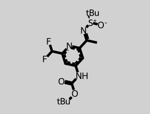 CC(=N[S@@+]([O-])C(C)(C)C)c1cc(NC(=O)OC(C)(C)C)cc(C(F)F)n1